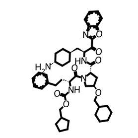 N[C@H]1CC[C@H](C[C@H](NC(=O)[C@@H]2C[C@@H](OCC3CCCCC3)CN2C(=O)[C@@H](CCc2ccccc2)NC(=O)OCC2CCCC2)C(=O)c2nc3ccccc3o2)CC1